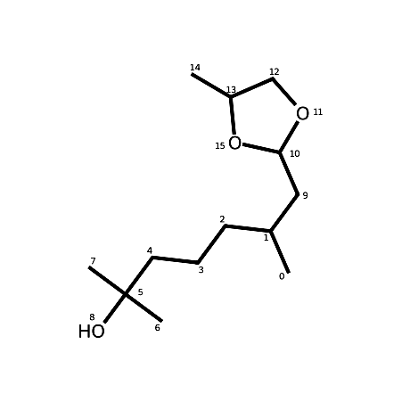 CC(CCCC(C)(C)O)CC1OCC(C)O1